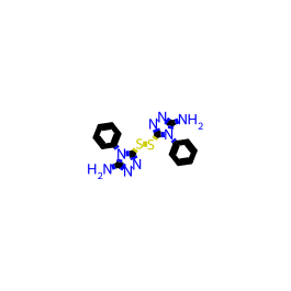 Nc1nnc(SSc2nnc(N)n2-c2ccccc2)n1-c1ccccc1